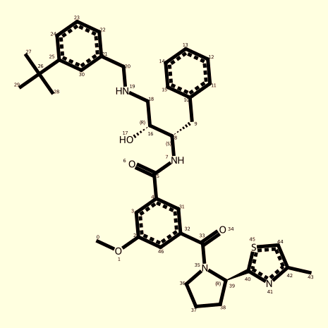 COc1cc(C(=O)N[C@@H](Cc2ccccc2)[C@H](O)CNCc2cccc(C(C)(C)C)c2)cc(C(=O)N2CCC[C@@H]2c2nc(C)cs2)c1